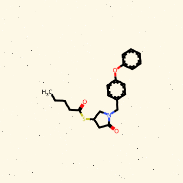 CCCCC(=O)SC1CC(=O)N(Cc2ccc(Oc3ccccc3)cc2)C1